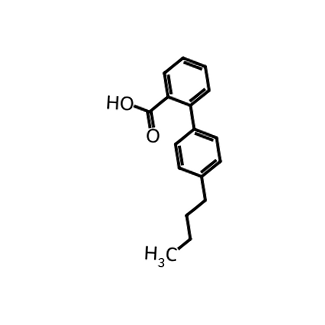 CCCCc1ccc(-c2ccccc2C(=O)O)cc1